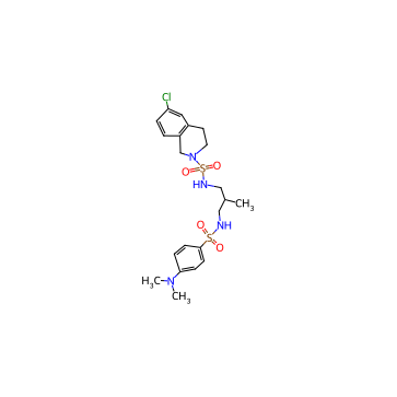 CC(CNS(=O)(=O)c1ccc(N(C)C)cc1)CNS(=O)(=O)N1CCc2cc(Cl)ccc2C1